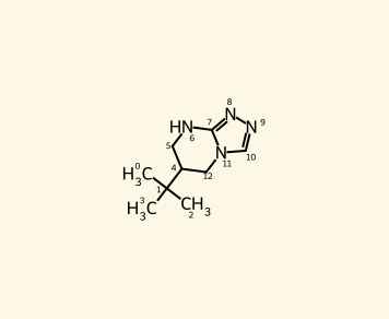 CC(C)(C)C1CNc2nncn2C1